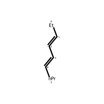 CC/C=[C]/C=CCCC